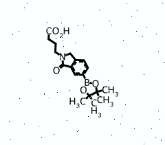 CC1(C)OB(c2ccc3c(c2)C(=O)N(CCCC(=O)O)C3)OC1(C)C